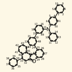 c1ccc(-c2ccc(N(c3ccccc3)c3cccc(-c4cccc(-c5cccc6oc7cc(-c8ccccc8)c8ccccc8c7c56)c4)c3)cc2)cc1